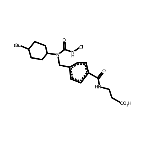 CC(C)(C)C1CCC(N(Cc2ccc(C(=O)NCCC(=O)O)cc2)C(=O)NCl)CC1